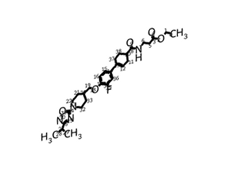 CCOC(=O)CCNC(=O)C1CC=C(c2ccc(OCC3CCN(c4nc(C(C)C)no4)CC3)c(F)c2)CC1